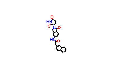 O=C1CCC(N2Cc3cc(NC(=O)Cc4ccc5ccccc5c4)ccc3C2=O)C(=O)N1